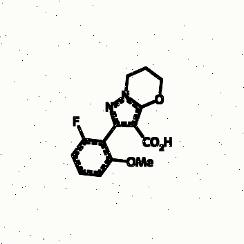 COc1cccc(F)c1-c1nn2c(c1C(=O)O)OCCC2